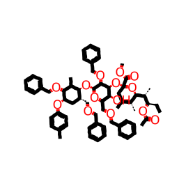 CC[C@@H](OC(C)=O)[C@@H](C)[C@@H]1O[C@@](O[C@@H]2C(OCc3ccccc3)[C@H](O[C@H]3C(C)C(OCc4ccccc4)[C@H](Oc4ccc(C)cc4)C[C@H]3COCc3ccccc3)OC(COCc3ccccc3)[C@@H]2O)(C(=O)OC)CC(C)[C@H]1C